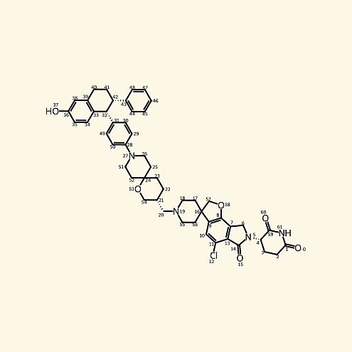 O=C1CC[C@H](N2Cc3c4c(cc(Cl)c3C2=O)C2(CCN(C[C@H]3CCC5(CCN(c6ccc([C@@H]7c8ccc(O)cc8CC[C@@H]7c7ccccc7)cc6)CC5)OC3)CC2)CO4)C(=O)N1